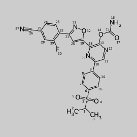 CC(C)S(=O)(=O)c1ccc(-c2cnc(OC(N)=O)c(-c3cc(-c4ccc(C#N)cc4F)no3)n2)cc1